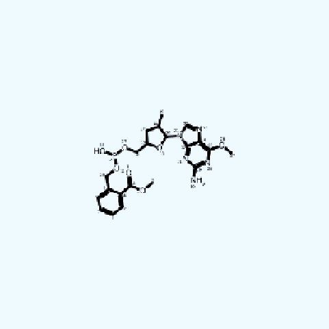 COC(=O)c1ccccc1COP(O)OCC1CC(C)C(n2cnc3c(OC)nc(N)nc32)O1